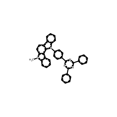 Cn1c2ccccc2c2c1ccc1c3ccccc3n(-c3ccc(-c4nc(-c5ccccc5)nc(-c5ccccc5)n4)cc3)c12